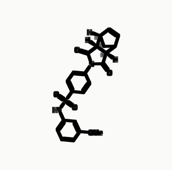 COc1cccc(NS(=O)(=O)c2ccc(N3C(=O)[C@@H]4[C@@H]5C=CC(C5)[C@@H]4C3=O)cc2)c1